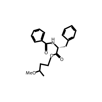 COC(C)CCOC(=O)[C@@H](Cc1ccccc1)NC(=O)c1ccccc1